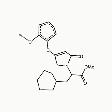 COC(=O)C(CC1CCCCC1)N1CC(Oc2ccccc2OC(C)C)=CC1=O